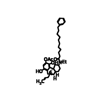 C=CCN1CC[C@]23c4c5c(O)cc(OC(C)=O)c4O[C@H]2[C@@H](N(CC)C(=O)CCCCCCCCCCc2ccccc2)CC[C@H]3[C@H]1C5